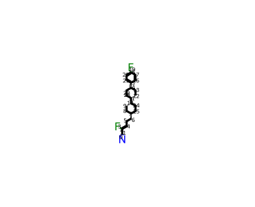 N#CC(F)=CCC[C@H]1CC[C@H]([C@H]2CC[C@H](c3ccc(F)cc3)CC2)CC1